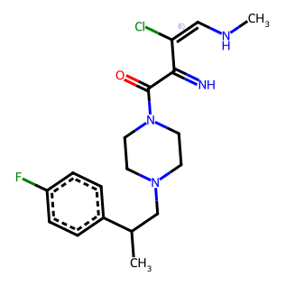 CN/C=C(/Cl)C(=N)C(=O)N1CCN(CC(C)c2ccc(F)cc2)CC1